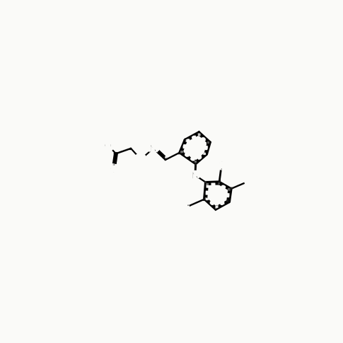 Cc1ccc(Cl)c(Nc2ccccc2C=NOCC(=O)O)c1Cl